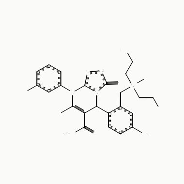 COC(=O)C1=C(C)N(c2cccc(C(F)(F)F)c2)c2n[nH]c(=O)n2C1c1ccc(C#N)cc1C[N+](C)(CCO)CCO